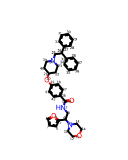 O=C(NCC(c1ccco1)N1CCOCC1)c1ccc(OC2CCN(CC(c3ccccc3)c3ccccc3)CC2)cc1